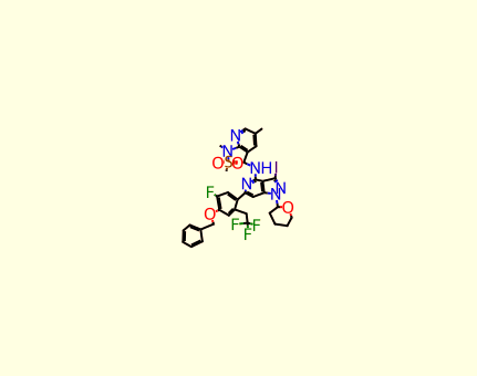 Cc1cnc(N(C)S(C)(=O)=O)c(CNc2nc(-c3cc(F)c(OCc4ccccc4)cc3CC(F)(F)F)cc3c2c(I)nn3C2CCCCO2)c1